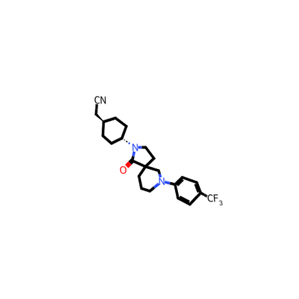 N#CC[C@H]1CC[C@H](N2CCC3(CCCN(c4ccc(C(F)(F)F)cc4)C3)C2=O)CC1